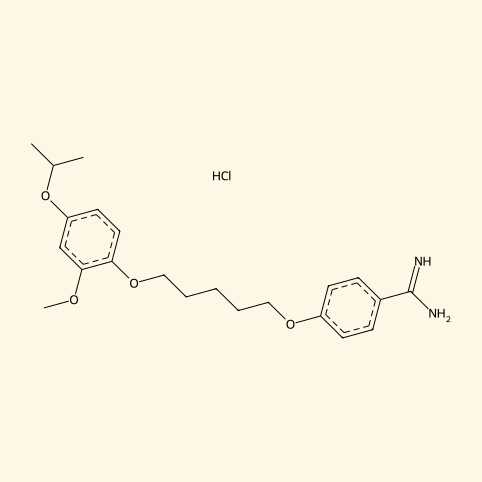 COc1cc(OC(C)C)ccc1OCCCCCOc1ccc(C(=N)N)cc1.Cl